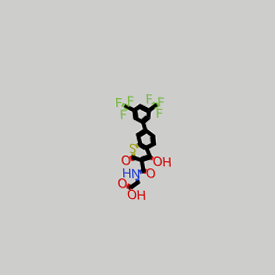 O=C(O)CNC(=O)c1c(O)c2ccc(-c3cc(C(F)(F)F)cc(C(F)(F)F)c3)cc2sc1=O